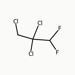 FC(F)C(Cl)(Cl)CCl